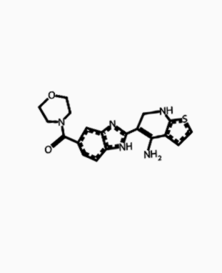 NC1=C(c2nc3cc(C(=O)N4CCOCC4)ccc3[nH]2)CNc2sccc21